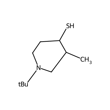 CC1CN(C(C)(C)C)CCC1S